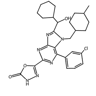 CC1CCC(Cn2c(C(O)C3CCCCC3)nc3nc(-c4n[nH]c(=O)o4)nc(-c4cccc(Cl)c4)c32)CC1